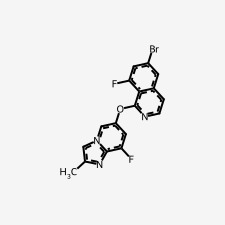 Cc1cn2cc(Oc3nccc4cc(Br)cc(F)c34)cc(F)c2n1